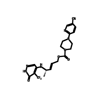 C[C@@H](/C=C/COC(=O)N1CCN(c2ccc(C#N)cn2)CC1)Nc1cn[nH]c(=O)c1C(F)(F)F